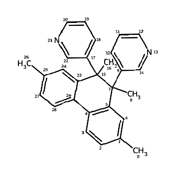 Cc1ccc2c(c1)C(C)(c1cccnc1)C(C)(c1cccnc1)c1cc(C)ccc1-2